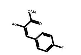 COC(=O)C(=Cc1ccc(F)cc1)C(C)=O